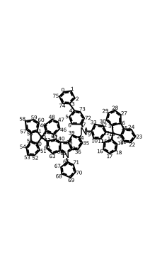 c1ccc(-c2ccc(N(c3ccc(C4(c5ccccc5)c5ccccc5-c5ccccc54)cc3)c3ccc4c(c3)c3cc(C5(c6ccccc6)c6ccccc6-c6ccccc65)ccc3n4-c3ccccc3)cc2)cc1